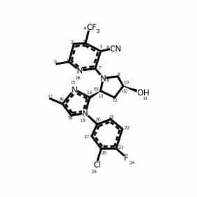 Cc1cc(C(F)(F)F)c(C#N)c(N2C[C@@H](O)C[C@H]2c2nc(C)cn2-c2ccc(F)c(Cl)c2)n1